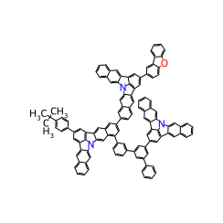 CC(C)(C)c1ccc(-c2cc3c4cc5ccccc5cc4n4c5cc6c(-c7cccc(-c8cc(-c9ccccc9)cc(-c9cc%10c%11cc%12ccccc%12cc%11n%11c%12cc%13ccccc%13cc%12c(c9)c%10%11)c8)c7)cc(-c7ccc8cc9c%10cc(-c%11ccc%12oc%13ccccc%13c%12c%11)cc%11c%12cc%13ccccc%13cc%12n(c9cc8c7)c%11%10)cc6cc5c(c2)c34)cc1